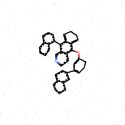 C1=C(Oc2c3c(c(-c4cccc5ccccc45)c4cnccc24)=CCCC=3)CCC=C1c1ccc2ccccc2c1